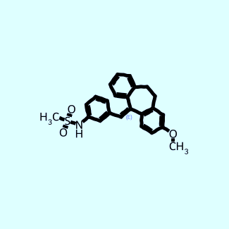 COc1ccc2c(c1)CCc1ccccc1/C2=C\c1cccc(NS(C)(=O)=O)c1